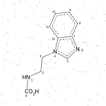 O=C(O)NCCn1cnc2ccccc21